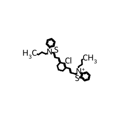 CCCCN1/C(=C/C=C2\CCCC(/C=C/c3sc4ccccc4[n+]3CCCC)=C2Cl)Sc2ccccc21